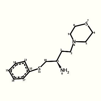 N[C@H](CCN1CCSCC1)CSc1ccccc1